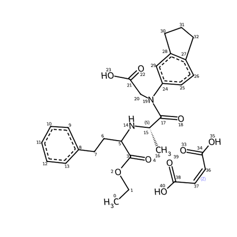 CCOC(=O)C(CCc1ccccc1)N[C@@H](C)C(=O)N(CC(=O)O)c1ccc2c(c1)CCC2.O=C(O)/C=C\C(=O)O